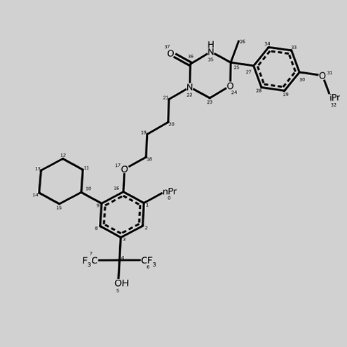 CCCc1cc(C(O)(C(F)(F)F)C(F)(F)F)cc(C2CCCCC2)c1OCCCCN1COC(C)(c2ccc(OC(C)C)cc2)NC1=O